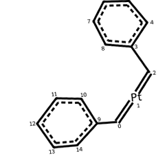 [CH](=[Pt]=[CH]c1ccccc1)c1ccccc1